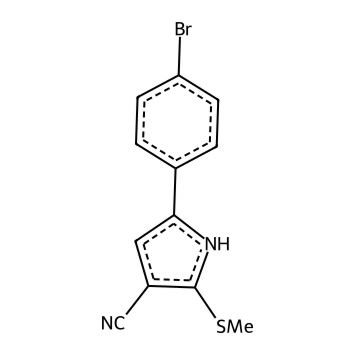 CSc1[nH]c(-c2ccc(Br)cc2)cc1C#N